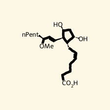 CCCCC[C@@H](/C=C/[C@@H]1[C@@H](C/C=C\CCCC(=O)O)[C@@H](O)C[C@H]1O)OC